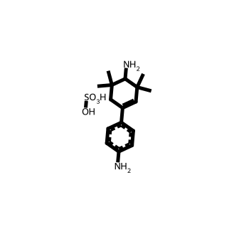 CC1(C)C=C(c2ccc(N)cc2)CC(C)(C)C1N.O=S(=O)(O)O